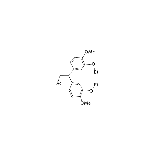 CCOc1cc(C(=CC(C)=O)c2ccc(OC)c(OCC)c2)ccc1OC